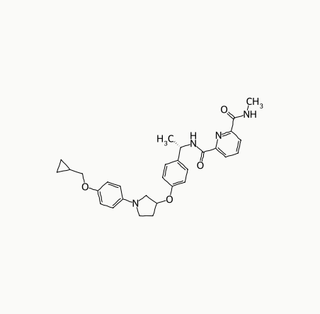 CNC(=O)c1cccc(C(=O)N[C@@H](C)c2ccc(OC3CCN(c4ccc(OCC5CC5)cc4)C3)cc2)n1